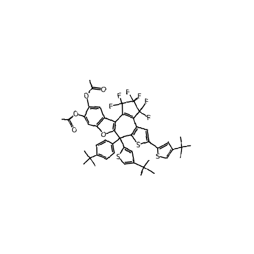 CC(=O)Oc1cc2oc3c(c2cc1OC(C)=O)C1=C(c2cc(-c4cc(C(C)(C)C)cs4)sc2C3(c2ccc(C(C)(C)C)cc2)c2cc(C(C)(C)C)cs2)C(F)(F)C(F)(F)C1(F)F